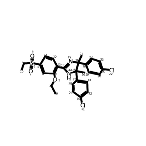 CCOc1cc(S(=O)(=O)CC)ccc1C1=NC(C)(c2ccc(Cl)cc2)C(C)(c2ccc(Cl)cc2)N1